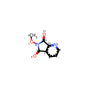 CON1C(=O)c2cccnc2C1=O